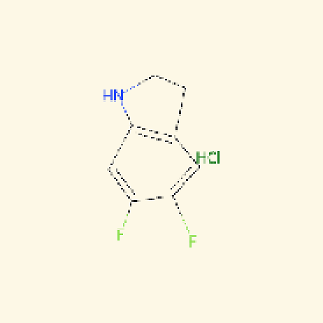 Cl.Fc1cc2c(cc1F)NCC2